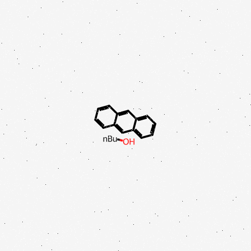 CCCCO.c1ccc2cc3ccccc3cc2c1